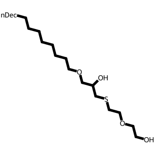 CCCCCCCCCCCCCCCCCCOCC(O)CSCCOCCO